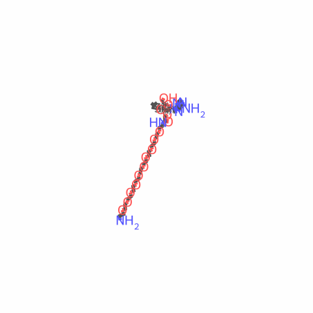 CC(C)(C)[Si](C)(C)O[C@H]1[C@@H](OCC(=O)NCCOCCOCCOCCOCCOCCOCCOCCOCCOCCOCCN)[C@H](n2cnc3c(N)ncnc32)O[C@@H]1CO